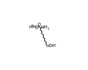 CCCCCCCCCCCCCCCCCCCC(N)C(=O)OCCCC